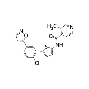 Cc1cnccc1C(=O)Nc1ccc(-c2cc(-c3ccno3)ccc2Cl)s1